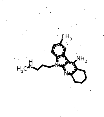 CNCCCn1c2ccc(C)cc2c2c(N)c3c(nc21)CCCC3